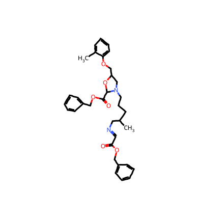 Cc1ccccc1OCC1CN(CCCC(C)C/N=C/C(=O)OCc2ccccc2)C(C(=O)OCc2ccccc2)O1